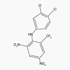 O=[N+]([O-])c1cc([N+](=O)[O-])c(Nc2ccc(Cl)c(Cl)c2)c(C(F)(F)F)c1